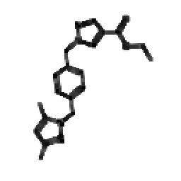 CCOC(=O)c1cnn(Cc2ccc(Cn3nc(C)cc3C)cc2)c1